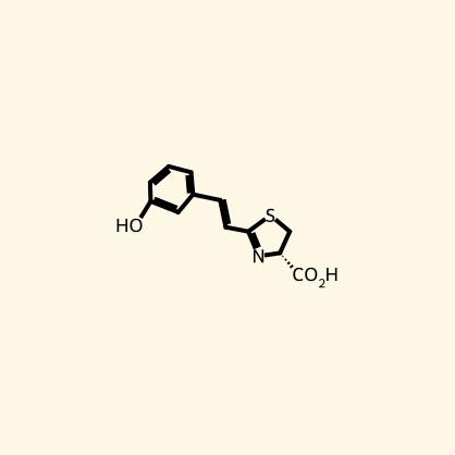 O=C(O)[C@H]1CSC(/C=C/c2cccc(O)c2)=N1